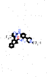 NC(=O)C1(C(Cc2ccccc2)c2nc(Nc3ccc(C4CCN(C(=O)O)CC4)cc3)ncc2C(F)(F)F)CC1